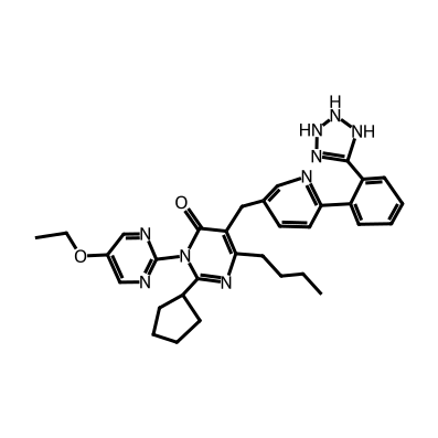 CCCCc1nc(C2CCCC2)n(-c2ncc(OCC)cn2)c(=O)c1Cc1ccc(-c2ccccc2C2=NNNN2)nc1